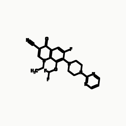 CCn1cc(C#N)c(=O)c2cc(F)c(N3CCN(c4ncccn4)CC3)c(OC(F)F)c21